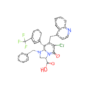 O=C(O)C1CN(Cc2ccccc2)c2c(-c3cccc(C(F)(F)F)c3)c(Cc3ccnc4ccccc34)c(Cl)c(=O)n21